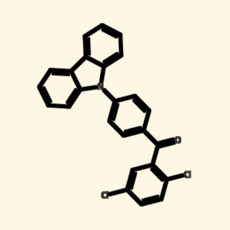 O=C(c1ccc(-n2c3ccccc3c3ccccc32)cc1)c1cc(Cl)ccc1Cl